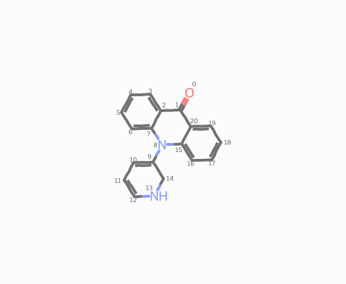 O=c1c2ccccc2n(C2=CC=CNC2)c2ccccc12